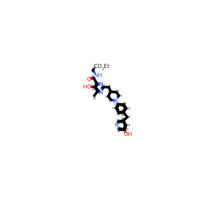 CCOC(=O)CNC(=O)c1nc(CC2CCN(c3ccc(Cc4cncc(O)c4)cc3)CC2)nc(C)c1O